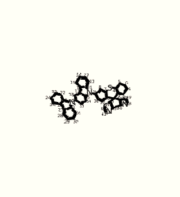 c1ccc2c(c1)Sc1cc(-n3c4ccccc4c4cc(-n5c6ccccc6c6ccccc65)ccc43)ccc1C21c2cccnc2-c2ncccc21